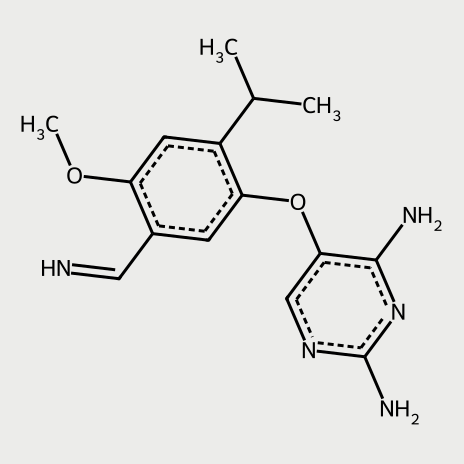 COc1cc(C(C)C)c(Oc2cnc(N)nc2N)cc1C=N